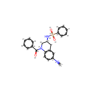 [C-]#[N+]c1ccc2c(c1)C[C@H](NS(=O)(=O)c1ccccc1)CN2C(=O)c1ccccc1